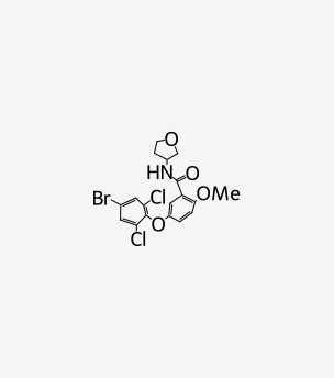 COc1ccc(Oc2c(Cl)cc(Br)cc2Cl)cc1C(=O)NC1CCOC1